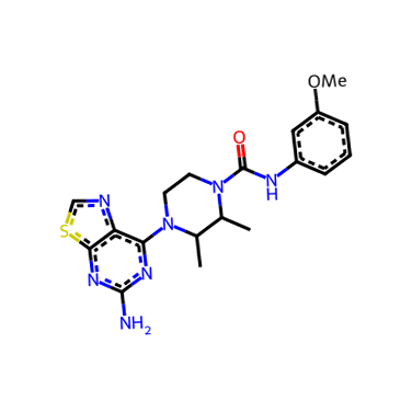 COc1cccc(NC(=O)N2CCN(c3nc(N)nc4scnc34)C(C)C2C)c1